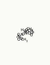 COc1cccc2ccc(=O)n(CCN3CCC(N(Cc4ccc5c(c4)OCCO5)C(=O)OC(C)(C)C)CC3)c12